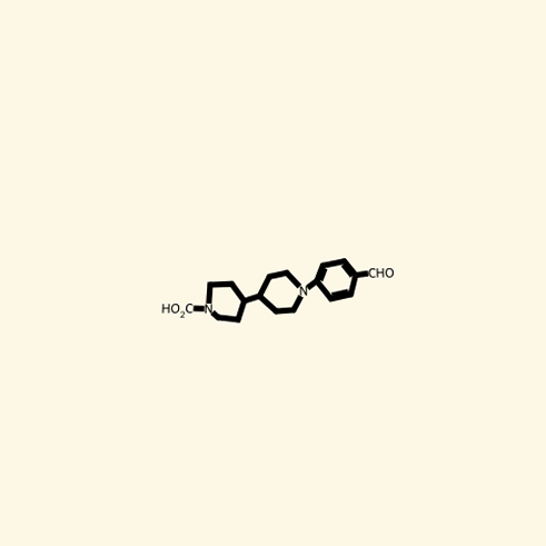 O=Cc1ccc(N2CCC(C3CCN(C(=O)O)CC3)CC2)cc1